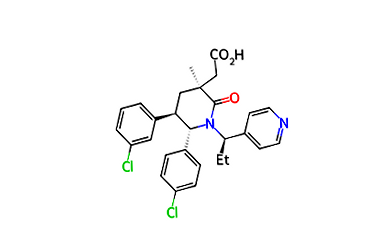 CC[C@H](c1ccncc1)N1C(=O)[C@](C)(CC(=O)O)C[C@H](c2cccc(Cl)c2)[C@H]1c1ccc(Cl)cc1